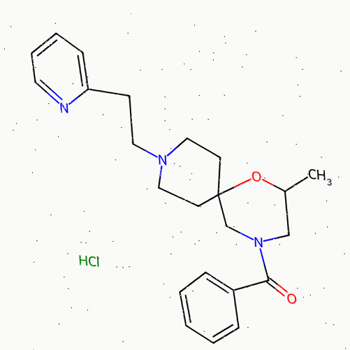 CC1CN(C(=O)c2ccccc2)CC2(CCN(CCc3ccccn3)CC2)O1.Cl